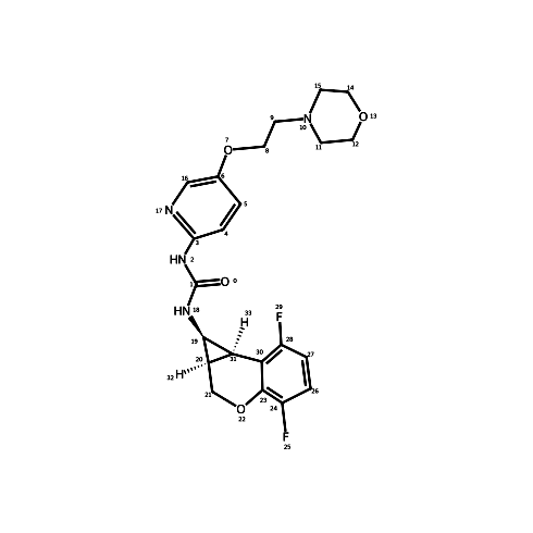 O=C(Nc1ccc(OCCN2CCOCC2)cn1)N[C@@H]1[C@@H]2COc3c(F)ccc(F)c3[C@@H]21